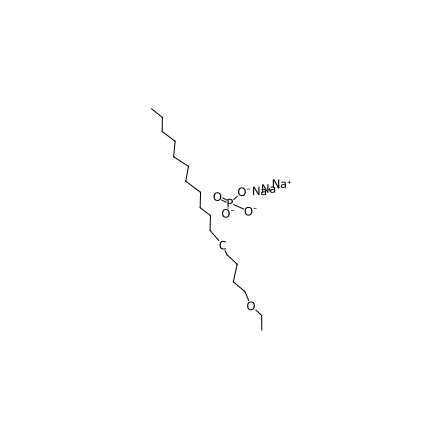 CCCCCCCCCCCCCCCCOCC.O=P([O-])([O-])[O-].[Na+].[Na+].[Na+]